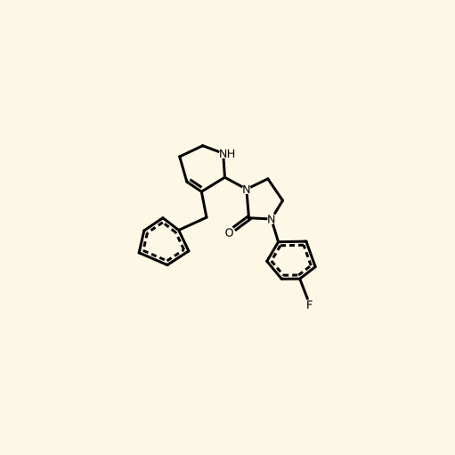 O=C1N(c2ccc(F)cc2)CCN1C1NCCC=C1Cc1ccccc1